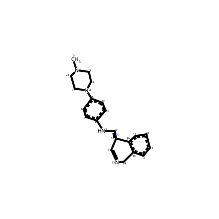 CN1CCN(c2ccc(N/C=C3\C=NCc4ccccc43)cc2)CC1